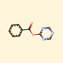 O=C(Oc1ncncn1)c1ccccc1